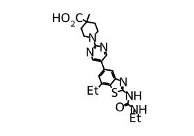 CCNC(=O)Nc1nc2cc(-c3cnc(N4CCC(C)(C(=O)O)CC4)nc3)cc(CC)c2s1